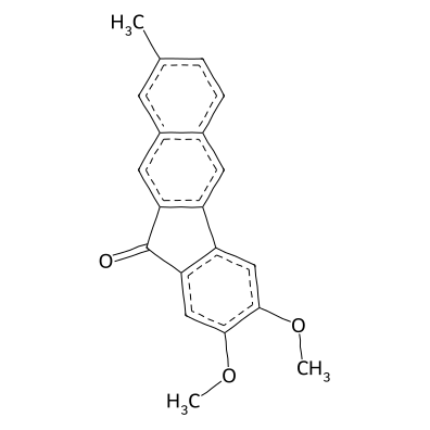 COc1cc2c(cc1OC)-c1cc3ccc(C)cc3cc1C2=O